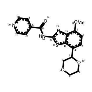 COc1ccc(C2COCCO2)c2sc(NC(=O)c3ccncc3)nc12